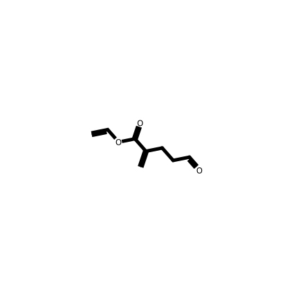 C=COC(=O)C(=C)CCC=O